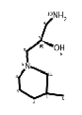 CC1CCCN(C[C@H](O)CN)C1